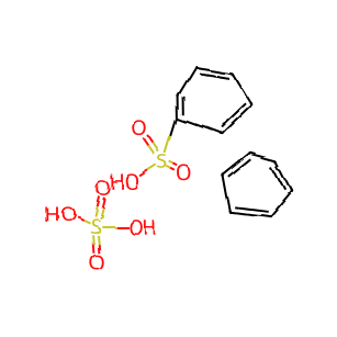 O=S(=O)(O)O.O=S(=O)(O)c1ccccc1.c1ccccc1